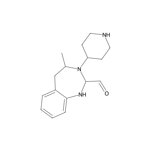 CC1Cc2ccccc2NC(C=O)N1C1CCNCC1